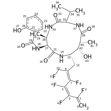 C=C(F)/C(F)=C(F)\C(F)=C(/CF)C[C@@H]1NC(=O)[C@@H](NC(=O)c2ccccc2O)[C@@H](C)NC(=O)C(C(C)C)NC(=O)[C@H](C)[C@@H]1O